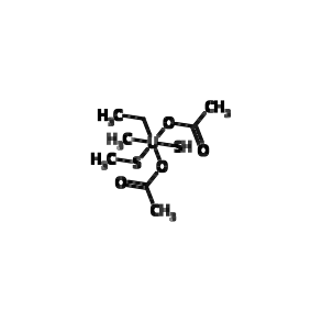 C[CH2][U]([CH3])([SH])([O]C(C)=O)([O]C(C)=O)[S]C